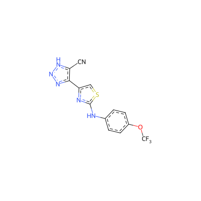 N#Cc1[nH]nnc1-c1csc(Nc2ccc(OC(F)(F)F)cc2)n1